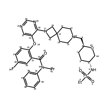 CCS(=O)(=O)N[C@@H]1CC[C@@H](CN2CCC3(CC2)CN(c2ncncc2Oc2ccc(F)cc2C(=O)N(c2ccccc2)C(C)C)C3)OC1